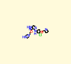 Clc1cc(Nc2nccc3[nH]nc(OCCN4CCNCC4)c23)ccc1OCc1ccccn1